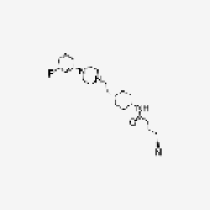 N#CCCCC(=O)N[C@H]1CC[C@H](CCN2CCN(c3cccc(F)c3)CC2)CC1